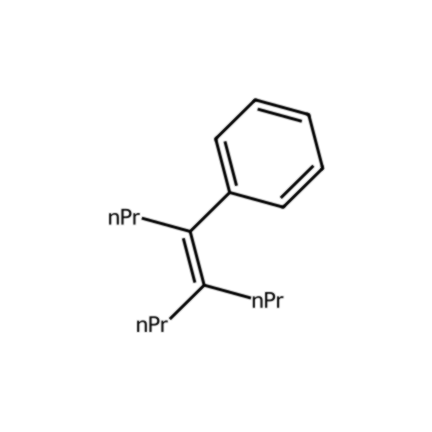 CCCC(CCC)=C(CCC)c1ccccc1